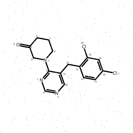 O=C1CCCN(c2ncncc2Cc2ccc(Cl)cc2Cl)C1